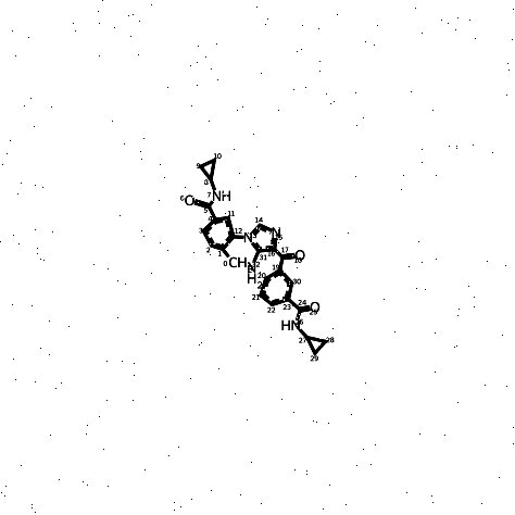 Cc1ccc(C(=O)NC2CC2)cc1-n1cnc(C(=O)c2cccc(C(=O)NC3CC3)c2)c1N